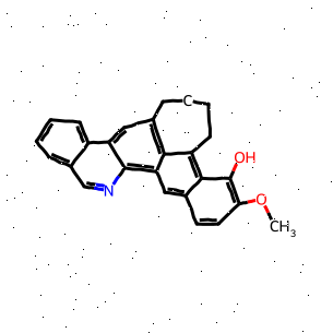 COc1ccc2cc3c4c(cc5c6ccccc6cnc35)CCCCc4c2c1O